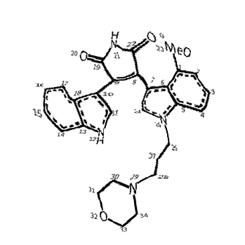 COc1cccc2c1c(C1=C(c3c[nH]c4ccccc34)C(=O)NC1=O)cn2CCCN1CCOCC1